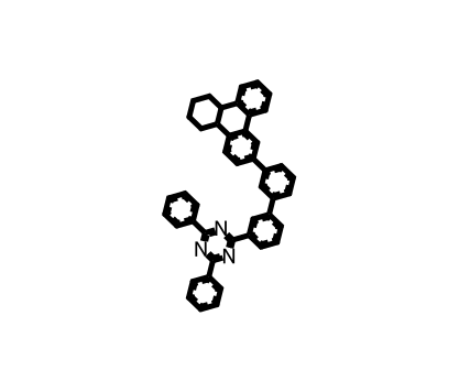 c1ccc(-c2nc(-c3ccccc3)nc(-c3cccc(-c4cccc(-c5ccc6c(c5)-c5ccccc5C5CCCCC65)c4)c3)n2)cc1